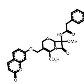 COC1(NC(=O)Cc2ccccc2)C(=O)N2C(C(=O)O)=C(COc3ccc4ccc(=O)oc4c3)CSC21